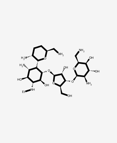 CCN[C@@H]1[C@@H](O)[C@H](N)C([C@H]2O[C@H](CN)CC[C@H]2N)[C@H](O[C@@H]2O[C@H](CO)[C@@H](O[C@H]3O[C@@H](CN)[C@@H](O)[C@H](O)[C@H]3N)[C@H]2O)[C@H]1O